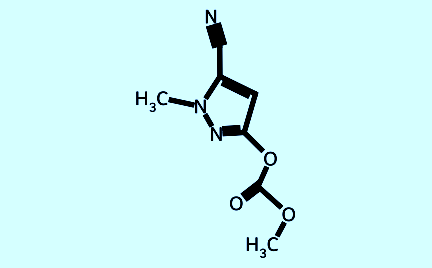 COC(=O)Oc1cc(C#N)n(C)n1